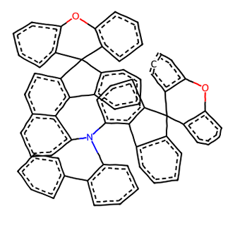 c1ccc(-c2ccccc2N(c2cccc3c2-c2ccccc2C32c3ccccc3Oc3ccccc32)c2cccc3ccc4c(c23)-c2ccccc2C42c3ccccc3Oc3ccccc32)cc1